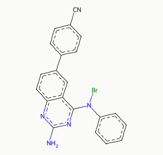 N#Cc1ccc(-c2ccc3nc(N)nc(N(Br)c4ccccc4)c3c2)cc1